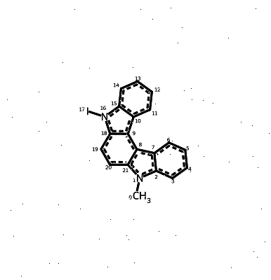 Cn1c2ccccc2c2c3c4ccccc4n(I)c3ccc21